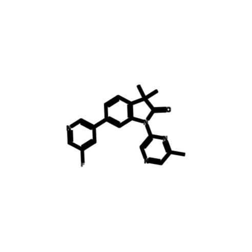 Cc1cncc(N2C(=O)C(C)(C)c3ccc(-c4cncc(F)c4)cc32)n1